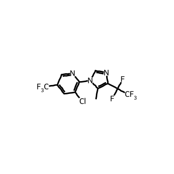 Cc1c(C(F)(F)C(F)(F)F)ncn1-c1ncc(C(F)(F)F)cc1Cl